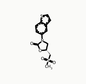 CS(=O)(=O)C[C@H]1CN(c2ccc3sccc3c2)C(=O)O1